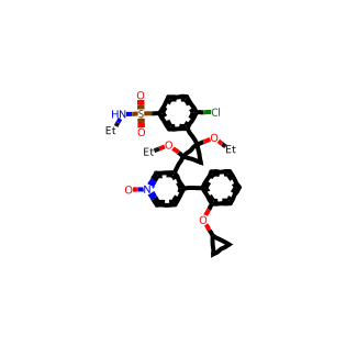 CCNS(=O)(=O)c1ccc(Cl)c(C2(OCC)CC2(OCC)c2c[n+]([O-])ccc2-c2ccccc2OC2CC2)c1